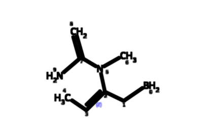 BC/C(=C/C)N(C)C(=C)N